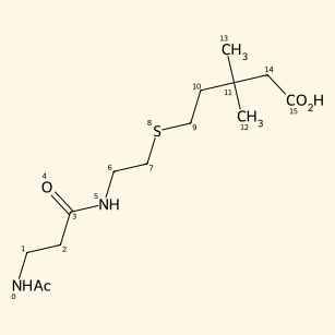 CC(=O)NCCC(=O)NCCSCCC(C)(C)CC(=O)O